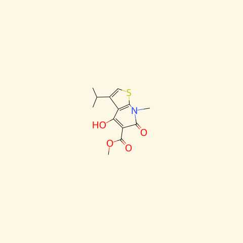 COC(=O)c1c(O)c2c(C(C)C)csc2n(C)c1=O